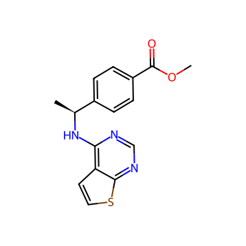 COC(=O)c1ccc([C@H](C)Nc2ncnc3sccc23)cc1